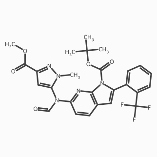 COC(=O)c1cc(N(C=O)c2ccc3cc(-c4ccccc4C(F)(F)F)n(C(=O)OC(C)(C)C)c3n2)n(C)n1